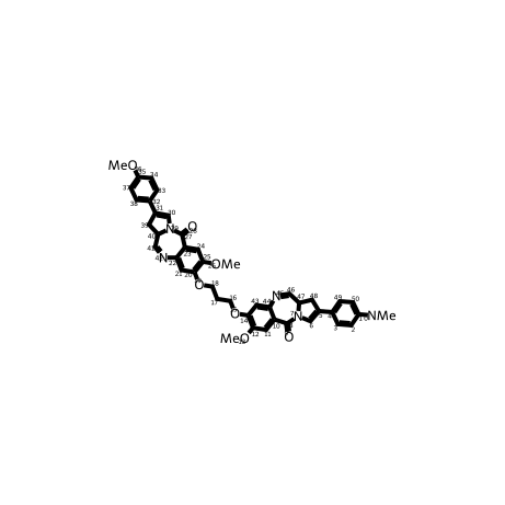 CNc1ccc(C2=CN3C(=O)c4cc(OC)c(OCCCOc5cc6c(cc5OC)C(=O)N5C=C(c7ccc(OC)cc7)CC5C=N6)cc4N=CC3C2)cc1